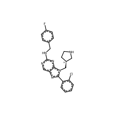 Fc1ccc(CNc2ncc3nc(-c4ccccc4Cl)n(C[C@H]4CCNC4)c3n2)cc1